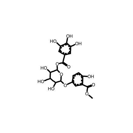 COC(=O)c1cc(OC2OC(OC(=O)c3cc(O)c(O)c(O)c3)C(O)C(O)C2O)ccc1O